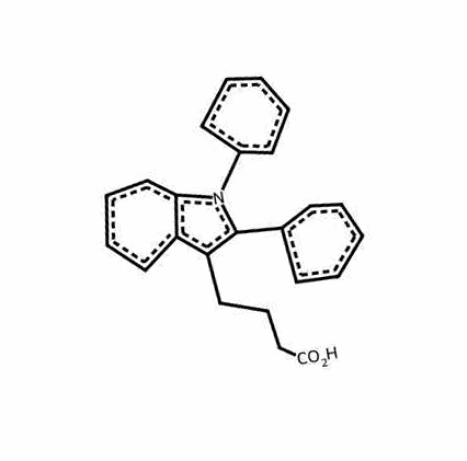 O=C(O)CCCc1c(-c2ccccc2)n(-c2ccccc2)c2ccccc12